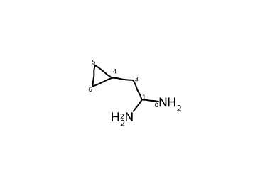 NC(N)CC1CC1